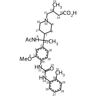 COc1cc(C(C)(NC(C)=O)C2CCN(CC(C)CC(=O)O)CC2)ccc1NC(=O)Nc1ccccc1C